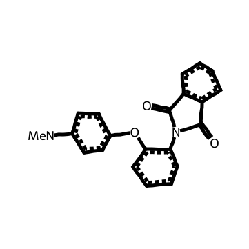 CNc1ccc(Oc2ccccc2N2C(=O)c3ccccc3C2=O)cc1